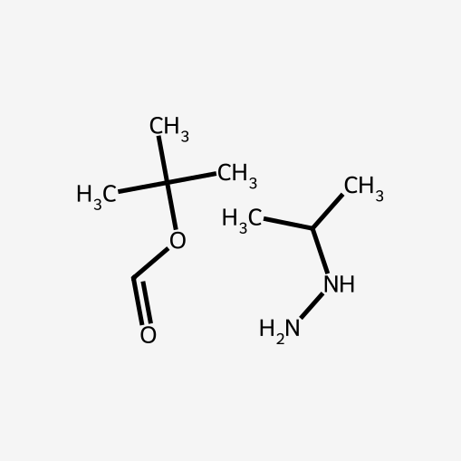 CC(C)(C)OC=O.CC(C)NN